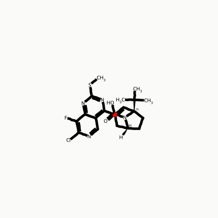 CSc1nc(C2=C[C@]3(C(C)(C)C)CC[C@H](C2)N3C(=O)O)c2cnc(Cl)c(F)c2n1